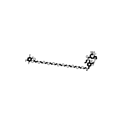 CCCN(Cc1ccc(CN(C)CCOCCOCCOCCOCCOCCOCCOCCOCCOCCOCCC(=O)Oc2c(F)c(F)cc(F)c2F)cc1C(F)(F)F)C(=O)C1=Cc2sccc2N=C(N)C1